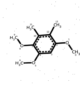 COc1cc(OC)c(OC)c(C)c1C